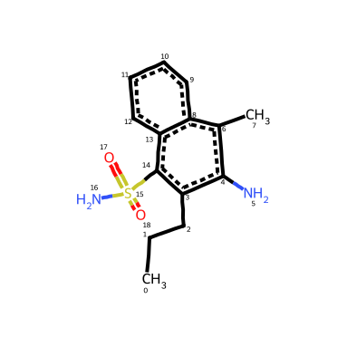 CCCc1c(N)c(C)c2ccccc2c1S(N)(=O)=O